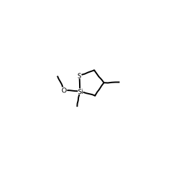 CO[Si]1(C)CC(C)CS1